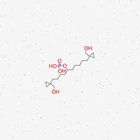 O=P(O)(O)OC(CCCCCC1(CO)CC1)CCCCC1(CO)CC1